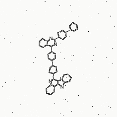 c1ccc(-c2ccc(-c3nc(-c4ccc(-c5ccc(-c6nc7ccccc7c7nc8ccccn8c67)cc5)cc4)c4ccccc4n3)cc2)cc1